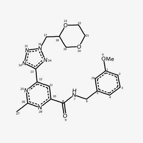 COc1cccc(CNC(=O)c2cc(-c3nnn(CC4COCCO4)n3)nc(C)n2)c1